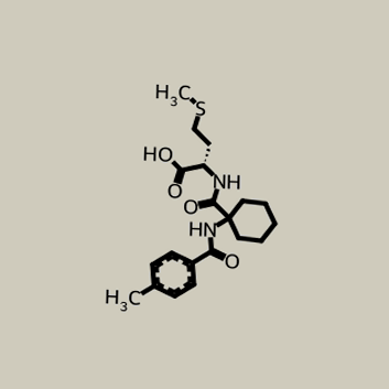 CSCC[C@H](NC(=O)C1(NC(=O)c2ccc(C)cc2)CCCCC1)C(=O)O